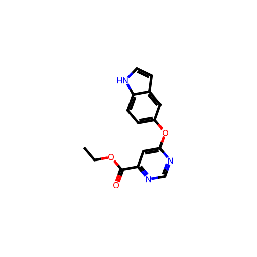 CCOC(=O)c1cc(Oc2ccc3[nH]ccc3c2)ncn1